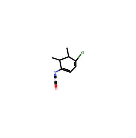 CC1C(Cl)=CC=C(N=C=O)C1C